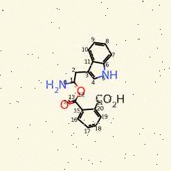 NC(Cc1c[nH]c2ccccc12)OC(=O)c1ccccc1C(=O)O